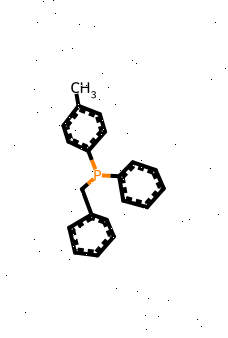 Cc1ccc(P(Cc2ccccc2)c2ccccc2)cc1